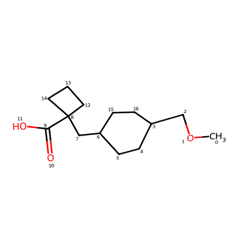 COCC1CCC(CC2(C(=O)O)CCC2)CC1